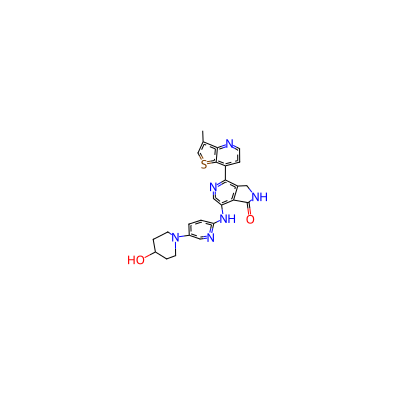 Cc1csc2c(-c3ncc(Nc4ccc(N5CCC(O)CC5)cn4)c4c3CNC4=O)ccnc12